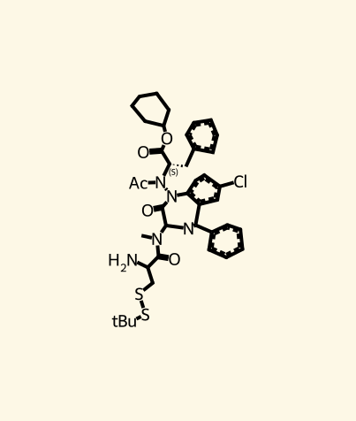 CC(=O)N([C@@H](Cc1ccccc1)C(=O)OC1CCCCC1)N1C(=O)C(N(C)C(=O)C(N)CSSC(C)(C)C)N=C(c2ccccc2)c2cc(Cl)ccc21